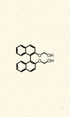 OCOc1ccc2ccccc2c1-c1c(OCO)ccc2ccccc12